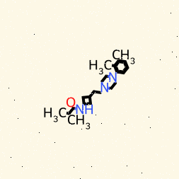 Cc1cccc(N2CCN(CCC3CC(NC(=O)C(C)C)C3)CC2)c1C